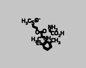 CCc1cccc(C)c1N[C@@H](C)C(=O)OCC[S+](C)[O-].NCC(=O)O